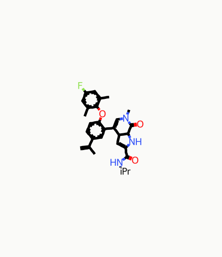 C=C(C)c1ccc(Oc2c(C)cc(F)cc2C)c(C2=CN(C)C(=O)C3NC(C(=O)NC(C)C)=CC23)c1